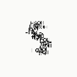 CC1(C)O[C@H]([C@H](O)CO[C@@H]2O[C@H](CO[C@@H]3O[C@H](CO)[C@@H](O)[C@H](O)[C@H]3O)[C@@H](O)[C@H](O)[C@H]2O)[C@@H]([C@H](O)CO[C@@H]2O[C@H](CO[C@@H]3O[C@H](CO)[C@@H](O)[C@H](O)[C@H]3O)[C@@H](O)[C@H](O)[C@H]2O)O1